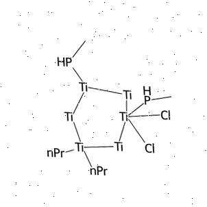 CC[CH2][Ti]1([CH2]CC)[Ti][Ti]([PH]C)[Ti][Ti]([Cl])([Cl])([PH]C)[Ti]1